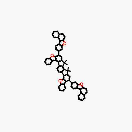 CC1(C)c2cc(-c3ccc4c(c3)oc3ccc5ccccc5c34)c3c(oc4ccccc43)c2-c2ccc3c(c21)C(C)(C)c1cc(-c2ccc4c(c2)oc2ccc5ccccc5c24)c2oc4ccccc4c2c1-3